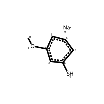 COc1cccc(S)c1.[Na]